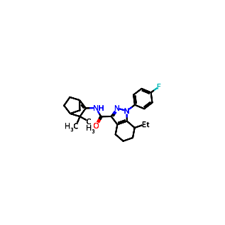 CCC1CCCc2c(C(=O)NC3=C4CCC(C4)C3(C)C)nn(-c3ccc(F)cc3)c21